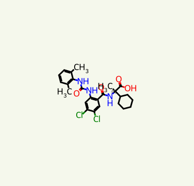 Cc1cccc(C)c1NC(=O)Nc1cc(Cl)c(Cl)cc1C(=O)N[C@](C)(C(=O)O)C1CCCCC1